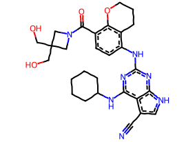 N#Cc1c[nH]c2nc(Nc3ccc(C(=O)N4CC(CO)(CO)C4)c4c3CCCO4)nc(NC3CCCCC3)c12